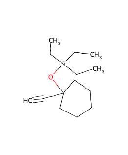 C#CC1(O[Si](CC)(CC)CC)CCCCC1